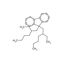 CCCCC(CC)CC1(CC(CC)CCCC)c2ccccc2-c2ccccc21